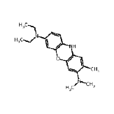 CCN(CC)c1ccc2c(c1)Oc1cc(N(C)C)c(C)cc1N2